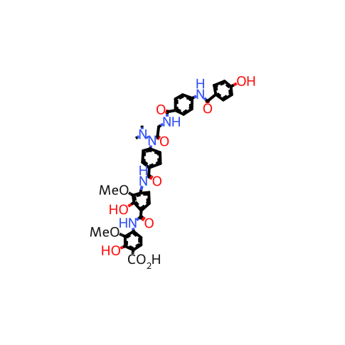 COc1c(NC(=O)c2ccc(NC(=O)c3ccc(N(C(=O)CNC(=O)c4ccc(NC(=O)c5ccc(O)cc5)cc4)N(C)C)cc3)c(OC)c2O)ccc(C(=O)O)c1O